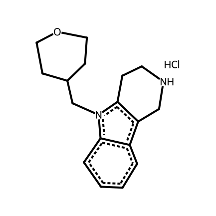 Cl.c1ccc2c(c1)c1c(n2CC2CCOCC2)CCNC1